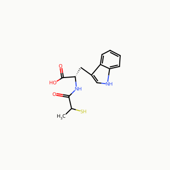 CC(S)C(=O)N[C@@H](Cc1c[nH]c2ccccc12)C(=O)O